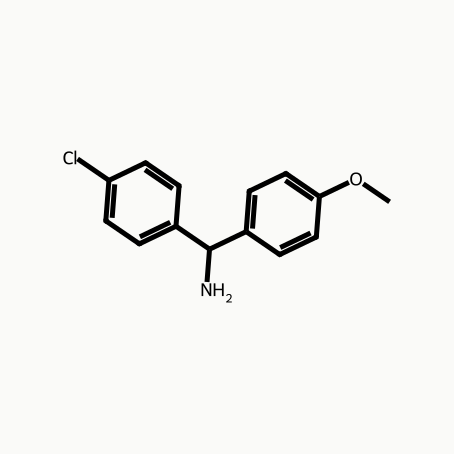 COc1ccc(C(N)c2ccc(Cl)cc2)cc1